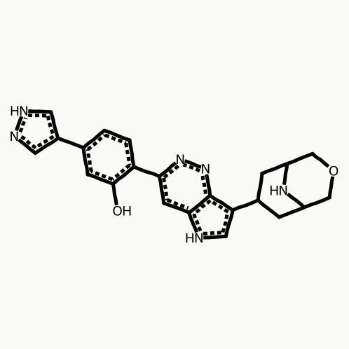 Oc1cc(-c2cn[nH]c2)ccc1-c1cc2[nH]cc(C3CC4COCC(C3)N4)c2nn1